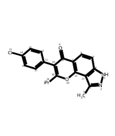 Cc1n[nH]c2ccc3c(=O)c(-c4ccc(Cl)cc4)c(C(C)C)oc3c12